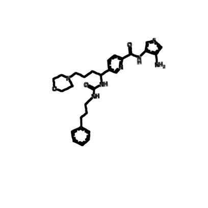 Nc1cscc1NC(=O)c1ccc(C(CCCN2CCOCC2)NC(=O)NCCCc2ccccc2)cn1